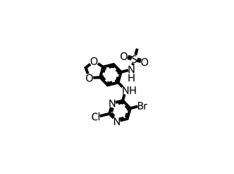 CS(=O)(=O)Nc1cc2c(cc1Nc1nc(Cl)ncc1Br)OCO2